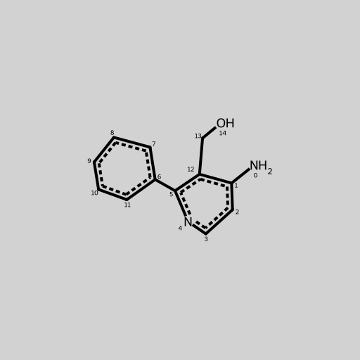 Nc1ccnc(-c2ccccc2)c1CO